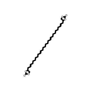 O=C1OCC(CC=CCCCCCCC=CCCCCCCC=CCCCCCCC=CCC2COC(=O)O2)O1